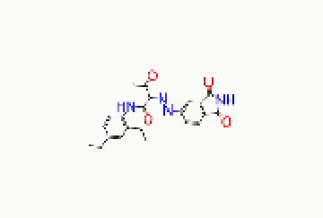 CCc1ccc(NC(=O)C(N=Nc2ccc3c(c2)C(=O)NC3=O)C(C)=O)c(CC)c1